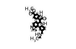 CCNCc1ccc(N/C(=C2\C(=O)Nc3cc(C(=O)OC)ccc32)c2ccc3ncsc3c2)cc1